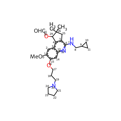 COc1cc2c3c(c(NCC4CC4)nc2cc1OCCCN1CCCC1)CC(C)(C)C3OC=O